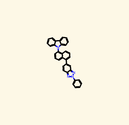 c1ccc(-n2nc3ccc(-c4cccc5c(-n6c7ccccc7c7ccccc76)cccc45)cc3n2)cc1